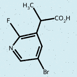 CC(C(=O)O)c1cc(Br)cnc1F